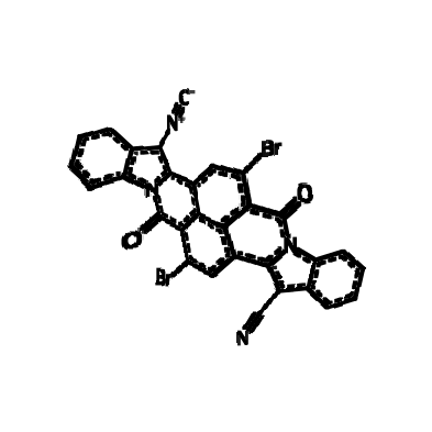 [C-]#[N+]c1c2ccccc2n2c(=O)c3c(Br)cc4c5c(c(Br)cc(c35)c12)c(=O)n1c2ccccc2c(C#N)c41